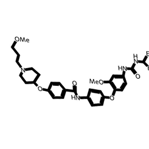 CCC(CC)NC(=O)Nc1ccc(Oc2ccc(NC(=O)c3ccc(OC4CCN(CCCOC)CC4)cc3)cc2)c(OC)c1